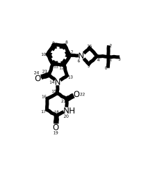 CC(C)(C)C1CN(c2cccc3c2CN(C2CCC(=O)NC2=O)C3=O)C1